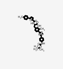 Cc1ccc(-c2ccc(C(=O)NC(Cc3ccc(-c4noc(-c5ccc(NC(=O)OC(C)(C)C)cc5)n4)c(C)c3)C(=O)O)o2)cc1